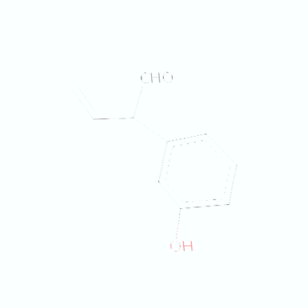 C=CC(C=O)c1cccc(O)c1